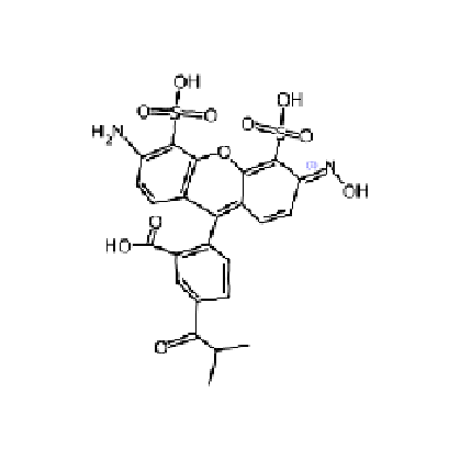 CC(C)C(=O)c1ccc(-c2c3cc/c(=N\O)c(S(=O)(=O)O)c-3oc3c(S(=O)(=O)O)c(N)ccc23)c(C(=O)O)c1